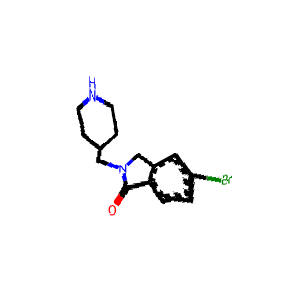 O=C1c2ccc(Br)cc2CN1CC1CCNCC1